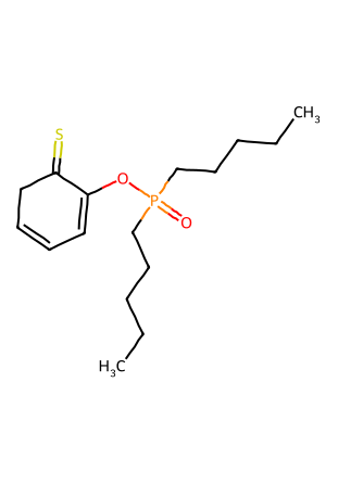 CCCCCP(=O)(CCCCC)OC1=CC=CCC1=S